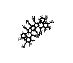 N#CC1=C(c2ccc(F)cc2)C(C(C#N)c2c(F)c(F)c(C#N)c(F)c2F)c2c(C#N)c3c(c(C#N)c21)C(C#N)=C(c1ccc(F)cc1)C3C(C#N)c1c(F)c(F)c(C#N)c(F)c1F